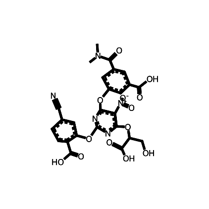 CN(C)C(=O)c1cc(Oc2nc(Oc3cc(C#N)ccc3C(=O)O)nc(OC(CO)C(=O)O)c2[N+](=O)[O-])cc(C(=O)O)c1